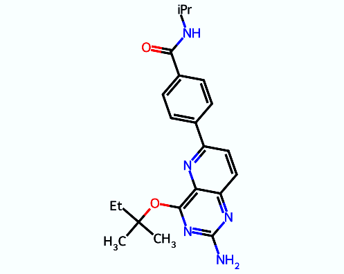 CCC(C)(C)Oc1nc(N)nc2ccc(-c3ccc(C(=O)NC(C)C)cc3)nc12